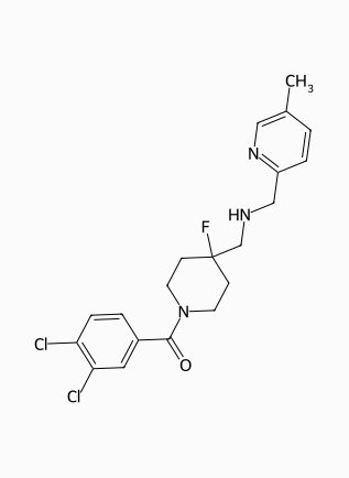 Cc1ccc(CNCC2(F)CCN(C(=O)c3ccc(Cl)c(Cl)c3)CC2)nc1